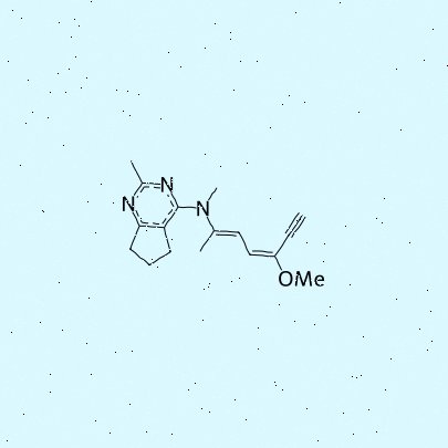 C#C/C(=C\C=C(/C)N(C)c1nc(C)nc2c1CCC2)OC